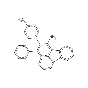 Cc1ccc(-c2c(N)c3c4c(cccc4c2-c2ccccc2)-c2ccccc2-3)cc1